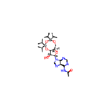 CC(=O)Nc1ncnc2c1ncn2[C@@H]1O[C@@H]2CO[Si](C(C)C)(C(C)C)O[Si](C(C)C)(C(C)C)OC2[C@@H]1O